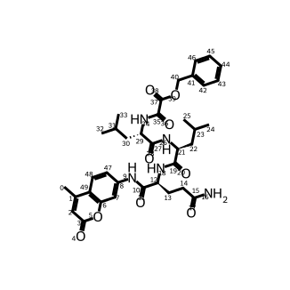 Cc1cc(=O)oc2cc(NC(=O)[C@H](CCC(N)=O)NC(=O)[C@H](CC(C)C)NC(=O)[C@H](CC(C)C)NC(=O)C(=O)OCc3ccccc3)ccc12